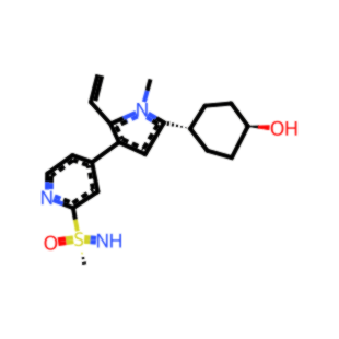 C=Cc1c(-c2ccnc([S@@](C)(=N)=O)c2)cc([C@H]2CC[C@H](O)CC2)n1C